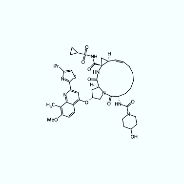 COc1ccc2c(O[C@@H]3C[C@H]4C(=O)N[C@]5(C(=O)NS(=O)(=O)C6CC6)C[C@H]5/C=C\CCCCC[C@H](NC(=O)N5CCC(O)CC5)C(=O)N4C3)cc(-c3nc(C(C)C)cs3)nc2c1C